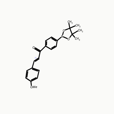 COc1ccc(/C=C/C(=O)c2ccc(B3OC(C)(C)C(C)(C)O3)cc2)cc1